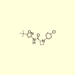 CC(C)(C)c1cc(NC(=O)[C@@H]2CCN2c2ccc(Cl)cc2)no1